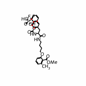 COC(=O)c1c(C)cccc1OCCCCNC(=O)C(Cc1ccc(C(F)(F)P(=O)(O)O)cc1)NC(=O)OCc1ccccc1